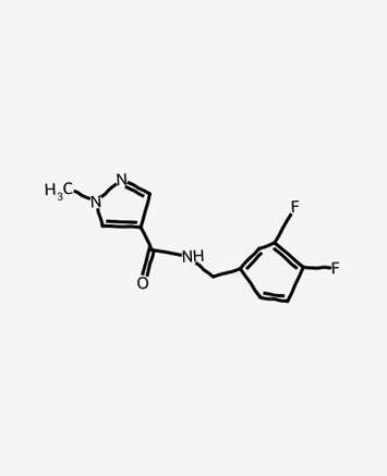 Cn1cc(C(=O)NCc2ccc(F)c(F)c2)cn1